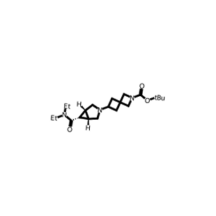 CCN(CC)C(=O)[C@@H]1[C@@H]2CN(C3CC4(C3)CN(C(=O)OC(C)(C)C)C4)C[C@@H]21